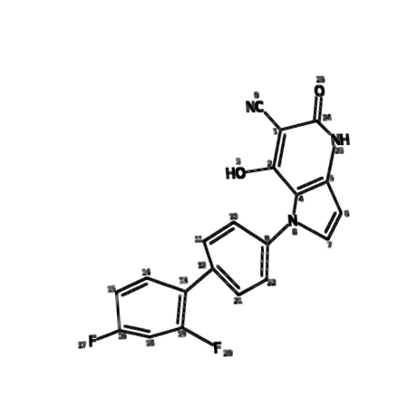 N#Cc1c(O)c2c(ccn2-c2ccc(-c3ccc(F)cc3F)cc2)[nH]c1=O